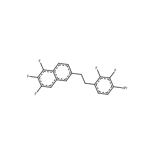 CCCc1ccc(CCc2ccc3c(F)c(F)c(F)cc3c2)c(F)c1F